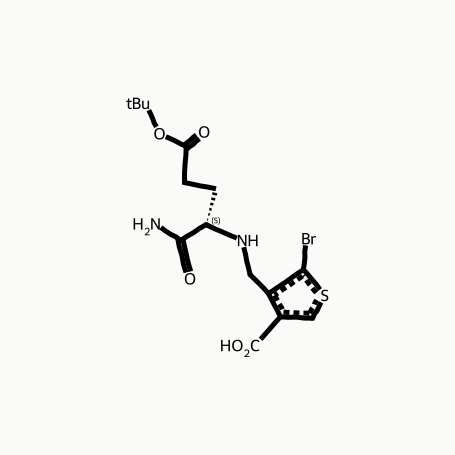 CC(C)(C)OC(=O)CC[C@H](NCc1c(C(=O)O)csc1Br)C(N)=O